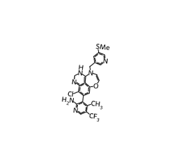 CSc1cncc(CN2C=COc3cc(-c4c(N)ncc(C(F)(F)F)c4C)c(Cl)c4c3=C2NCN=4)c1